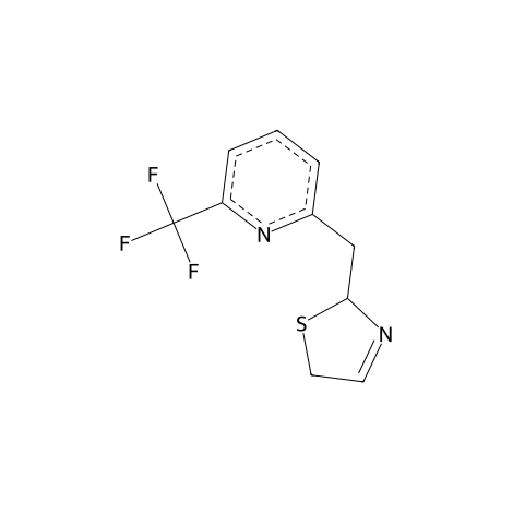 FC(F)(F)c1cccc(CC2N=CCS2)n1